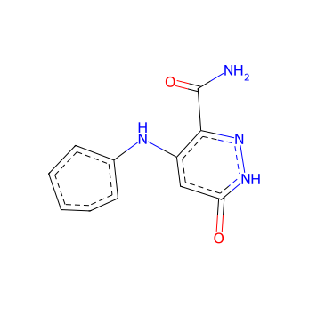 NC(=O)c1n[nH]c(=O)cc1Nc1ccccc1